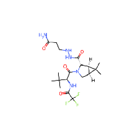 CC(C)(C)[C@H](NC(=O)C(F)(F)F)C(=O)N1C[C@H]2[C@@H]([C@H]1C(=O)NNCCC(N)=O)C2(C)C